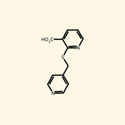 O=C(O)c1cccnc1SCc1ccncc1